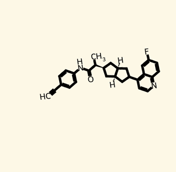 C#Cc1ccc(NC(=O)C(C)[C@H]2C[C@H]3CC(c4ccnc5ccc(F)cc45)C[C@H]3C2)cc1